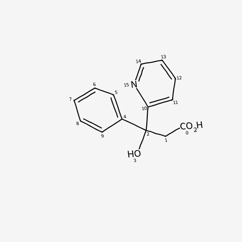 O=C(O)CC(O)(c1ccccc1)c1ccccn1